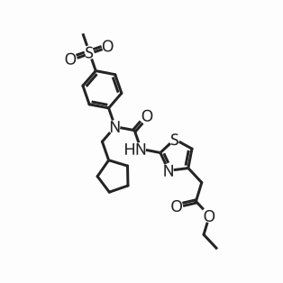 CCOC(=O)Cc1csc(NC(=O)N(CC2CCCC2)c2ccc(S(C)(=O)=O)cc2)n1